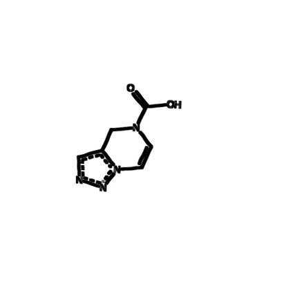 O=C(O)N1C=Cn2nncc2C1